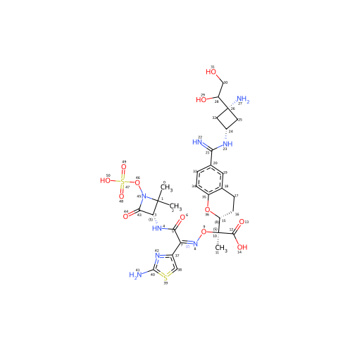 CC1(C)[C@H](NC(=O)/C(=N\O[C@](C)(C(=O)O)[C@H]2CCc3cc(C(=N)N[C@H]4C[C@](N)(C(O)CO)C4)ccc3O2)c2csc(N)n2)C(=O)N1OS(=O)(=O)O